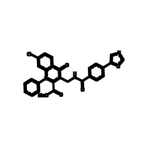 COC(=O)c1c(CNC(=O)c2ccc(-c3cnco3)cc2)c(=O)c2ccc(Cl)cc2n1-c1ccccc1